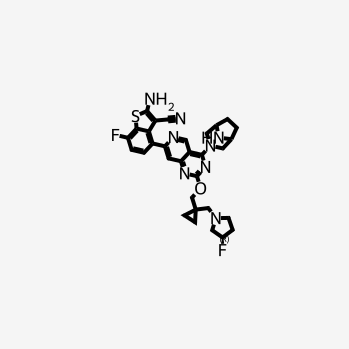 N#Cc1c(N)sc2c(F)ccc(-c3cc4nc(OCC5(CN6CC[C@@H](F)C6)CC5)nc(N5CC6CCC(C5)N6)c4cn3)c12